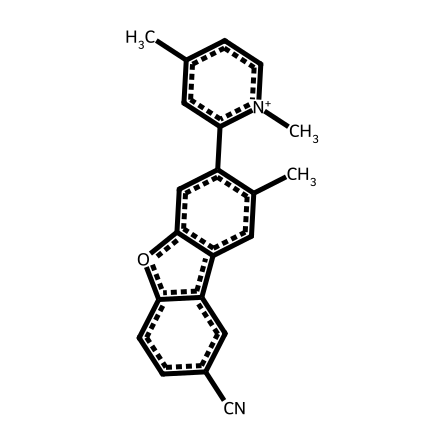 Cc1cc[n+](C)c(-c2cc3oc4ccc(C#N)cc4c3cc2C)c1